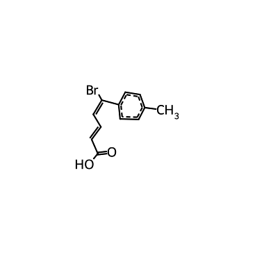 Cc1ccc(/C(Br)=C\C=C\C(=O)O)cc1